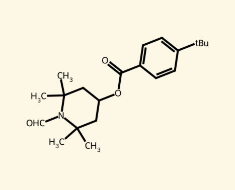 CC(C)(C)c1ccc(C(=O)OC2CC(C)(C)N(C=O)C(C)(C)C2)cc1